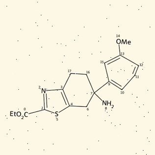 CCOC(=O)c1nc2c(s1)CC(N)(c1cccc(OC)c1)CC2